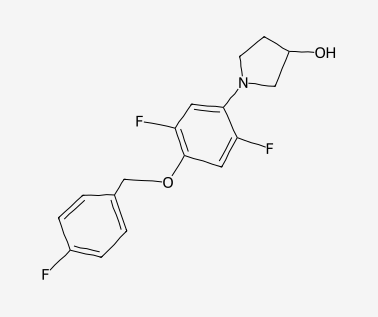 OC1CCN(c2cc(F)c(OCc3ccc(F)cc3)cc2F)C1